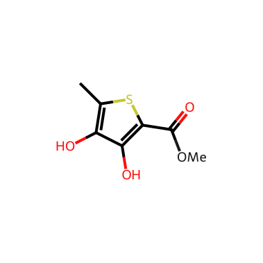 COC(=O)c1sc(C)c(O)c1O